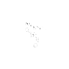 CCN(CCN(CC(=O)N(C)N1Cc2cccc(F)c2C1)C(=O)CNc1cc(-c2noc(C)n2)ccc1C)C(=O)OC(C)(C)C